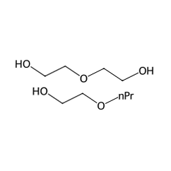 CCCOCCO.OCCOCCO